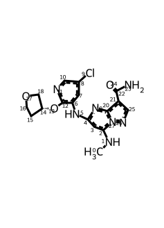 CNc1cc(Nc2cc(Cl)cnc2O[C@@H]2CCOC2)nc2c(C(N)=O)cnn12